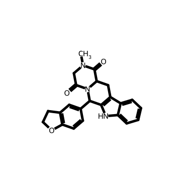 CN1CC(=O)N2C(Cc3c([nH]c4ccccc34)C2c2ccc3c(c2)CCO3)C1=O